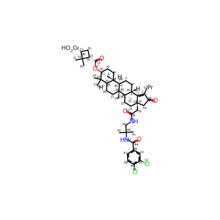 CC(C)C1=C2[C@H]3CC[C@@H]4[C@@]5(C)CC[C@H](OC(=O)[C@H]6C[C@@H](C(=O)O)C6(C)C)C(C)(C)[C@@H]5CC[C@@]4(C)[C@]3(C)CC[C@@]2(CC(=O)NCC(C)(C)NC(=O)c2ccc(Cl)c(Cl)c2)CC1=O